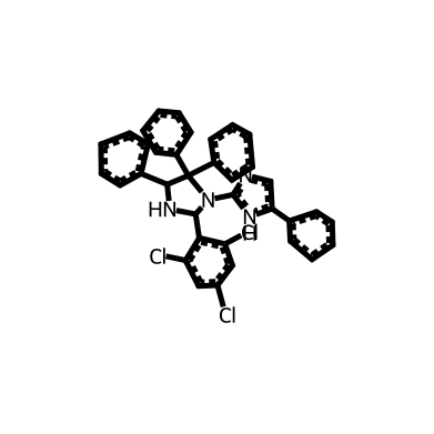 Clc1cc(Cl)c(C2NC(c3ccccc3)C(c3ccccc3)(c3ccccc3)N2c2ncc(-c3ccccc3)[nH]2)c(Cl)c1